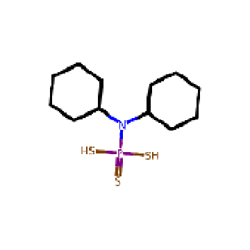 S=P(S)(S)N(C1CCCCC1)C1CCCCC1